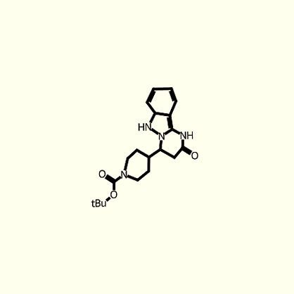 CC(C)(C)OC(=O)N1CCC(C2CC(=O)NC3=C4C=CC=CC4NN32)CC1